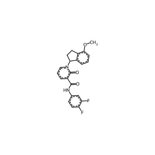 COc1cccc2c1CCC2n1cccc(C(=O)Nc2ccc(F)c(F)c2)c1=O